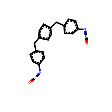 O=C=Nc1ccc(Cc2ccc(Cc3ccc(N=C=O)cc3)cc2)cc1